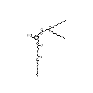 CCCCCCCCCOC(=O)CCCCCC(=O)OCc1cc(CO)cc(COC(=O)CCC(OCCCCCCCC)OCCCCCCCC)c1